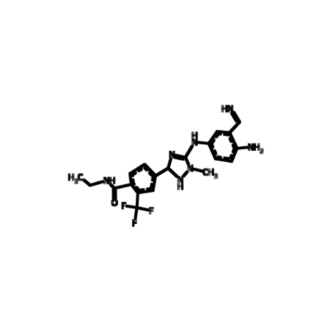 CCNC(=O)c1ccc(C2N=C(Nc3ccc(N)c(C=N)c3)N(C)N2)cc1C(F)(F)F